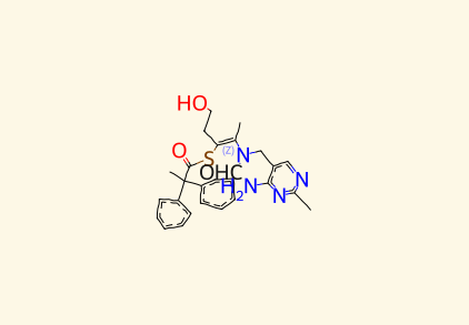 C/C(=C(\CCO)SC(=O)C(C)(c1ccccc1)c1ccccc1)N(C=O)Cc1cnc(C)nc1N